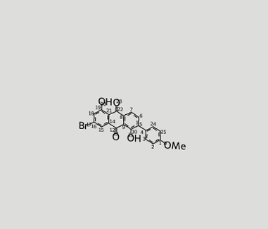 COc1ccc(-c2ccc3c(c2O)C(=O)c2cc(Br)cc(O)c2C3=O)cc1